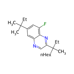 CCCCCCC(C)(CC)c1cnc2cc(C(C)(C)CC)cc(F)c2n1